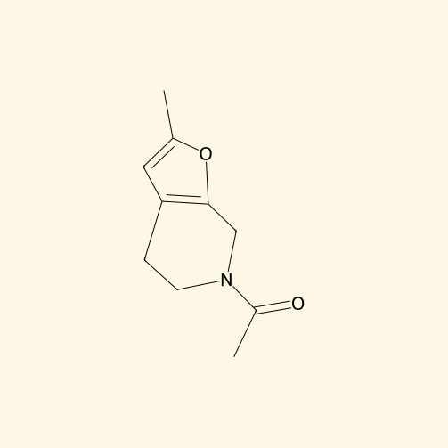 CC(=O)N1CCc2cc(C)oc2C1